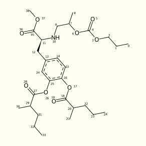 CCCOC(=O)OC(C)CN[C@@H](Cc1ccc(OC(=O)C(C)CCC)c(OC(=O)C(C)CCC)c1)C(=O)OC